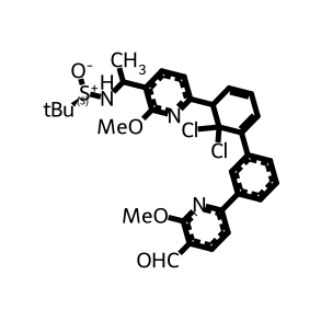 COc1nc(-c2cccc(C3=CC=CC(c4ccc(C(C)N[S@+]([O-])C(C)(C)C)c(OC)n4)C3(Cl)Cl)c2)ccc1C=O